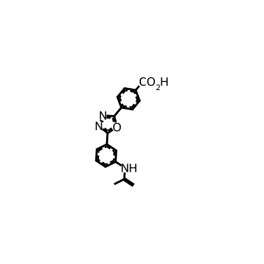 C=C(C)Nc1cccc(-c2nnc(-c3ccc(C(=O)O)cc3)o2)c1